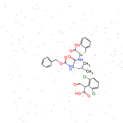 CC(C)C[C@H](NC(=O)OCc1ccccc1)C(=O)N[C@@H](Cc1ccccc1)C(=O)O.O=CC(C(=O)O)c1c(Cl)cccc1Cl